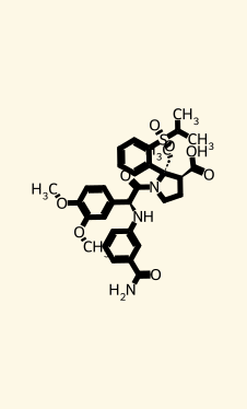 CC[C@]1(c2ccccc2S(=O)(=O)C(C)C)[C@@H](C(=O)O)CCN1C(=O)[C@@H](Nc1cccc(C(N)=O)c1)c1ccc(OC)c(OC)c1